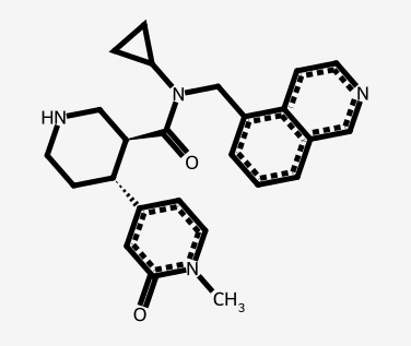 Cn1ccc([C@@H]2CCNC[C@H]2C(=O)N(Cc2cccc3cnccc23)C2CC2)cc1=O